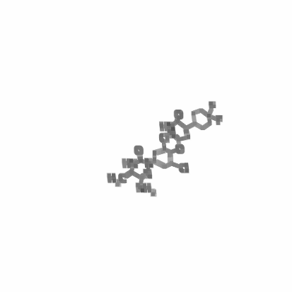 C=C1NC(=O)N(c2cc(Cl)c(Oc3cc(C4CCC(F)(F)CC4)c(=O)[nH]n3)c(Cl)c2)N=C1N